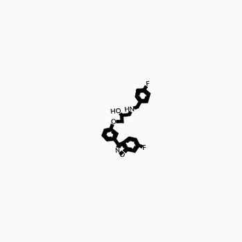 OC(CNCc1ccc(F)cc1)COc1cccc(-c2noc3cc(F)ccc23)c1